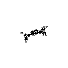 CCC(C)c1ccc(N(c2ccc(C)cc2)c2ccc(-c3ccc4c5ccc(-c6ccc(N(c7ccc(C)cc7)c7ccc(C(C)CC)cc7)cc6)c6cccc(c7cccc3c74)c65)cc2)cc1